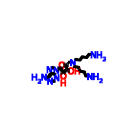 NCCCCCN(CCCCCN)C[C@H]1O[C@@H](n2cnc3c(N)ncnc32)[C@H](O)[C@@H]1O